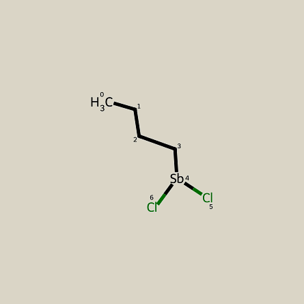 CCC[CH2][Sb]([Cl])[Cl]